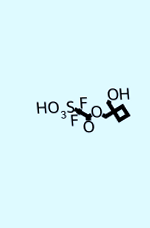 O=C(OCC1(CO)CCC1)C(F)(F)S(=O)(=O)O